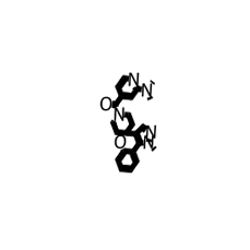 CN(C)c1cc(C(=O)N2CCC3(CC2)Oc2ccccc2-c2c3cnn2C)ccn1